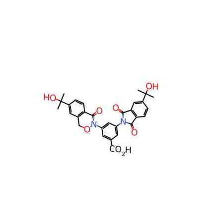 CC(C)(O)c1ccc2c(c1)CON(c1cc(C(=O)O)cc(N3C(=O)c4ccc(C(C)(C)O)cc4C3=O)c1)C2=O